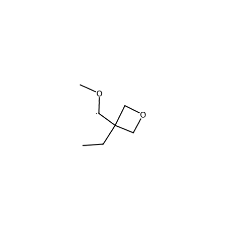 CCC1([CH]OC)COC1